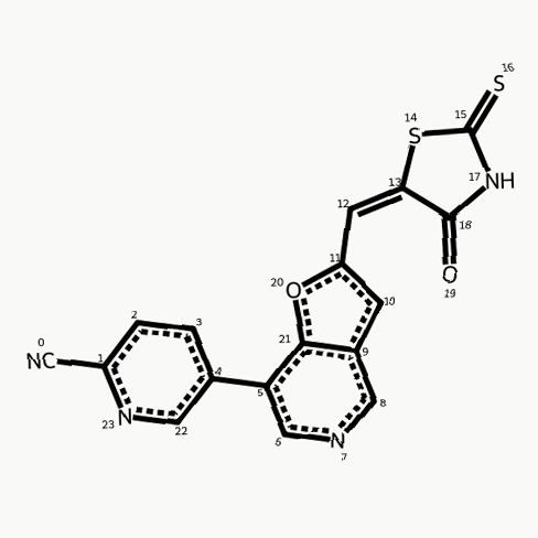 N#Cc1ccc(-c2cncc3cc(C=C4SC(=S)NC4=O)oc23)cn1